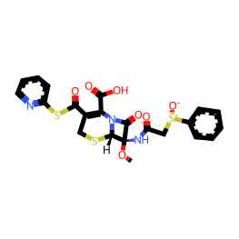 CO[C@@]1(NC(=O)C[S+]([O-])c2ccccc2)C(=O)N2C(C(=O)O)=C(C(=O)Sc3ccccn3)CS[C@H]21